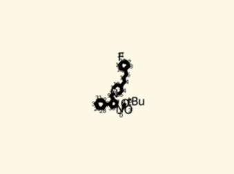 CN(C(=O)OC(C)(C)C)C1CC(CN2CCC(CCCc3ccc(F)cc3)CC2)C(c2ccccc2)C1